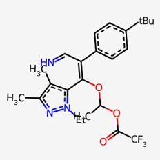 CCn1nc(C)c(C)c1/C(OC(C)OC(=O)C(F)(F)F)=C(\C=N)c1ccc(C(C)(C)C)cc1